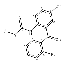 O=C(CCl)Nc1ccc(Cl)cc1C(=O)c1ccccc1F